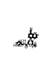 N#Cc1ccc(N2C[C@@H](C(=O)NCC3(F)CCNC3)O[C@@H](C(F)(F)F)C2)c2cccnc12